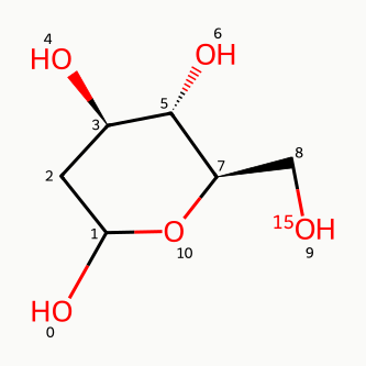 OC1C[C@@H](O)[C@H](O)[C@@H](C[15OH])O1